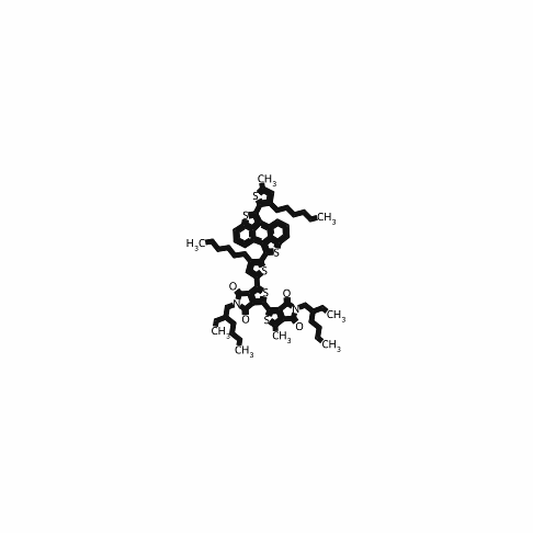 CCCCCCc1cc(C)sc1-c1sc2cccc3c4c(-c5sc(-c6sc(-c7sc(C)c8c7C(=O)N(CC(CC)CCCC)C8=O)c7c6C(=O)N(CC(CC)CCCC)C7=O)cc5CCCCCC)sc5cccc(c1c23)c54